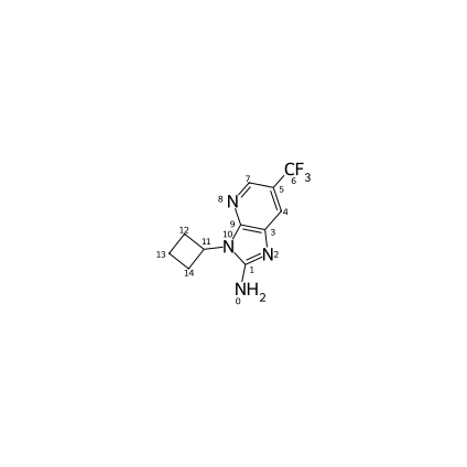 Nc1nc2cc(C(F)(F)F)cnc2n1C1CCC1